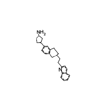 NC1CCC(c2ccc3c(c2)CCC(CCc2ccc4ccccc4n2)C3)C1